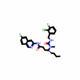 CCCC[C@@H](CCC(=O)Nc1cc2cc(F)ccc2cn1)N(C)C(=O)NCc1cccc(F)c1Cl